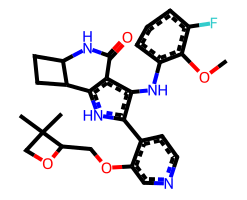 COc1c(F)cccc1Nc1c(-c2ccncc2OCC2OCC2(C)C)[nH]c2c1C(=O)NC1CCC21